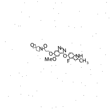 COc1cc2c(Oc3ccc4[nH]c(C)cc4c3F)ncnc2cc1OCCC(=O)N1CCC2(COC2)C1